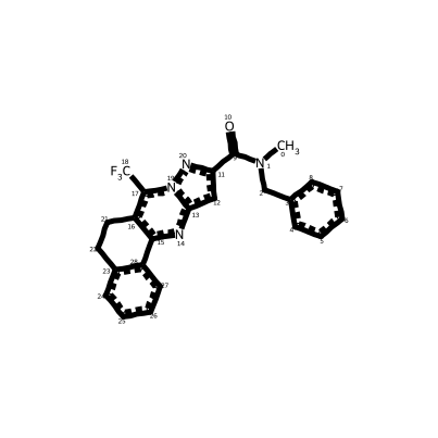 CN(Cc1ccccc1)C(=O)c1cc2nc3c(c(C(F)(F)F)n2n1)CCc1ccccc1-3